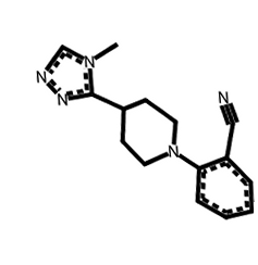 Cn1cnnc1C1CCN(c2cc[c]cc2C#N)CC1